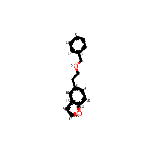 c1ccc(COCCc2ccc3occc3c2)cc1